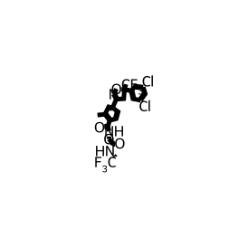 Cc1cc(C2=NOC(c3cc(Cl)cc(Cl)c3)(C(F)(F)F)C2)ccc1C(=O)NOC(=O)NCC(F)(F)F